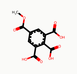 COC(=O)c1cc(C(=O)O)c(C(=O)O)c(C(=O)O)c1